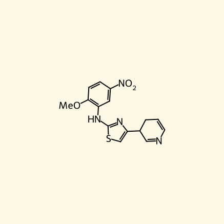 COc1ccc([N+](=O)[O-])cc1Nc1nc(C2C=NC=CC2)cs1